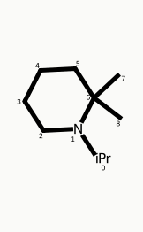 CC(C)N1CCCCC1(C)C